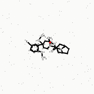 CCOC(=O)N1C2CCC1CC(N1CCC(OC)(c3cc(F)ccc3OC)CC1)C2